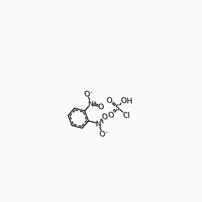 O=S(=O)(O)Cl.O=[N+]([O-])c1ccccc1[N+](=O)[O-]